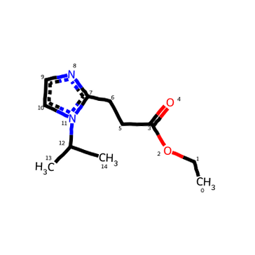 CCOC(=O)CCc1nccn1C(C)C